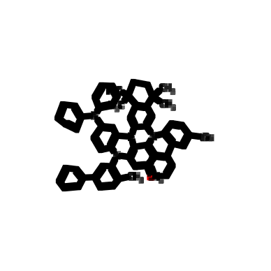 Cc1cc2c3c(c1)N(c1ccc(C(C)(C)C)cc1-c1ccccc1)c1cc4c(cc1B3c1cc(N(c3ccccc3)c3ccccc3)ccc1N2c1cc(-c2ccccc2)ccc1C)C(C)(C)CCC4(C)C